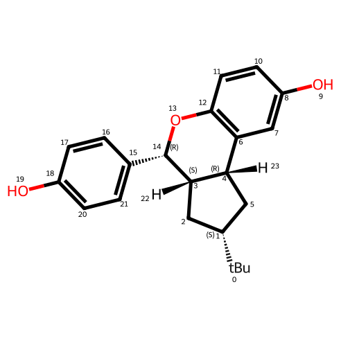 CC(C)(C)[C@@H]1C[C@H]2[C@@H](C1)c1cc(O)ccc1O[C@H]2c1ccc(O)cc1